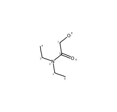 CCN(CC)C(=O)C[O]